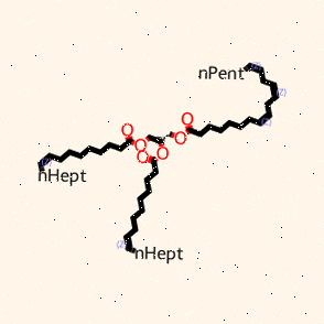 CCCCC/C=C\C/C=C\C/C=C\CCCCCCC(=O)OC[C@@H](COC(=O)CCCCCCC/C=C\CCCCCCC)OC(=O)CCCCCCC/C=C\CCCCCCC